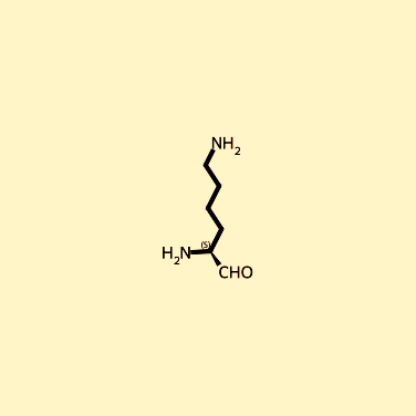 NCCCC[C@H](N)C=O